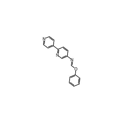 C(=N\c1ccc(-c2ccncc2)nc1)/Oc1ccccc1